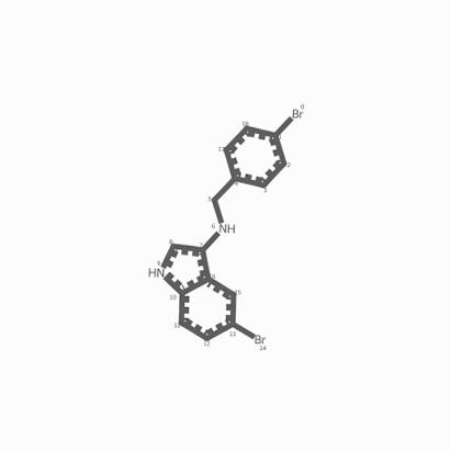 Brc1ccc(CNc2c[nH]c3ccc(Br)cc23)cc1